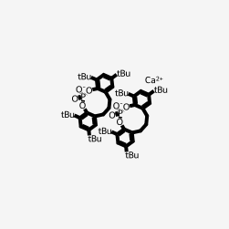 CC(C)(C)c1cc2c(c(C(C)(C)C)c1)OP(=O)([O-])Oc1c(cc(C(C)(C)C)cc1C(C)(C)C)CCC2.CC(C)(C)c1cc2c(c(C(C)(C)C)c1)OP(=O)([O-])Oc1c(cc(C(C)(C)C)cc1C(C)(C)C)CCC2.[Ca+2]